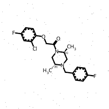 C[C@@H]1CN(C(=O)COc2ccc(F)cc2Cl)[C@@H](C)CN1Cc1ccc(F)cc1